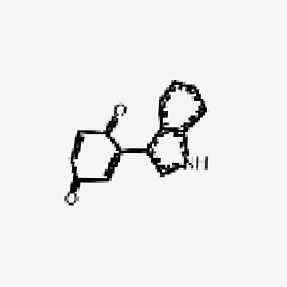 O=C1C=CC(=O)C(c2c[nH]c3ccccc23)=C1